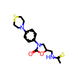 CC(=S)NCC1CN(c2ccc(N3CCSCC3)cc2)C(=O)O1